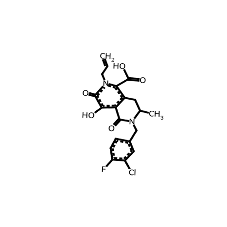 C=CCn1c(C(=O)O)c2c(c(O)c1=O)C(=O)N(Cc1ccc(F)c(Cl)c1)C(C)C2